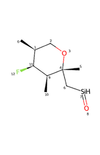 C[C@H]1CO[C@](C)(C[SiH]=O)[C@@H](C)[C@H]1F